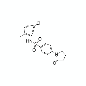 Cc1ccc(Cl)cc1NS(=O)(=O)c1ccc(N2CCCC2=O)cc1